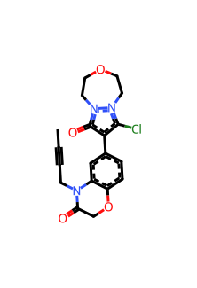 CC#CCN1C(=O)COc2ccc(-c3c(Cl)n4n(c3=O)CCOCC4)cc21